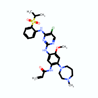 C=CC(=O)Nc1cc(Nc2ncc(Cl)c(Nc3ccccc3S(=O)(=O)C(C)C)n2)c(OC)cc1N1CCCN(C)CC1